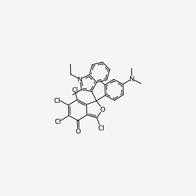 CCn1c(C)c(C2(c3ccc(N(C)C)cc3C)OC(Cl)=C3C(=O)C(Cl)=C(Cl)C(Cl)=C32)c2ccccc21